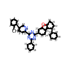 Cc1ccccc1-c1ccc(-c2nc(-c3ccccc3)nc(-c3ccc4c(c3)oc3cccc(-c5ccccc5)c34)n2)nc1